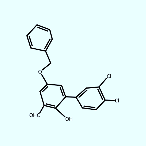 O=Cc1cc(OCc2ccccc2)cc(-c2ccc(Cl)c(Cl)c2)c1O